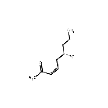 CCC[C@H](F)C/C=C\C(C)=O